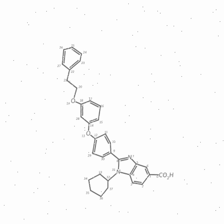 O=C(O)c1ccc2c(c1)nc(-c1ccc(Oc3cccc(OCCc4ccccc4)c3)cc1)n2C1CCCCC1